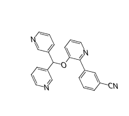 N#Cc1cccc(-c2ncccc2OC(c2cccnc2)c2cccnc2)c1